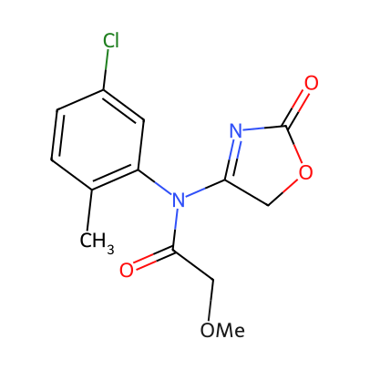 COCC(=O)N(C1=NC(=O)OC1)c1cc(Cl)ccc1C